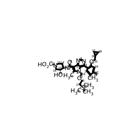 Cc1cc(-c2ncnc3c(C(=O)N[C@@H]4CCN(C(=O)O)C[C@H]4O)c(C)n(COCC[Si](C)(C)C)c23)c(OCC2CC2)cc1F